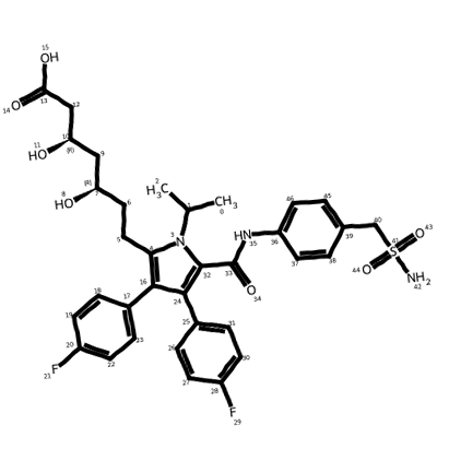 CC(C)n1c(CC[C@@H](O)C[C@@H](O)CC(=O)O)c(-c2ccc(F)cc2)c(-c2ccc(F)cc2)c1C(=O)Nc1ccc(CS(N)(=O)=O)cc1